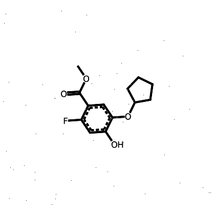 COC(=O)c1cc(OC2CCCC2)c(O)cc1F